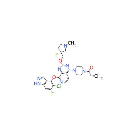 C=CC(=O)N1CCN(c2nc(OC[C@@]3(F)CCN(C)C3)nc3c(Oc4c(Cl)c(F)cc5[nH]ncc45)nccc23)CC1